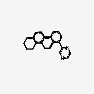 C1=c2ccc3c(c2CCC1)CC=c1c(-c2cnccn2)cccc1=3